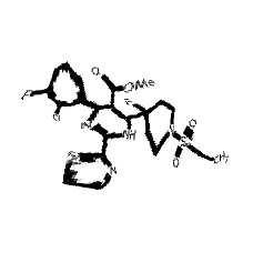 COC(=O)C1=C(C2(F)CCN(S(C)(=O)=O)CC2)NC(c2nccs2)=NC1c1cccc(F)c1Cl